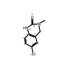 CCc1ccc2c(c1)CN(C)C(=O)N2